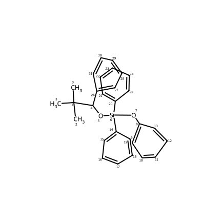 CC(C)(C)C(O[Si](Oc1ccccc1)(c1ccccc1)c1ccccc1)c1ccccc1